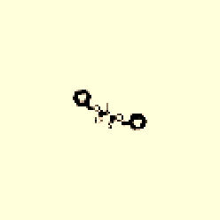 O=C(NC(=S)OCc1ccccc1)OCc1ccccc1